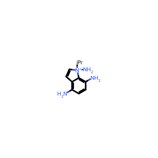 CC(C)[N+]1(N)C=Cc2c(N)ccc(N)c21